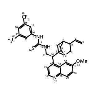 C=CC1CN2CCC1CC2[C@H](CNC(=S)Nc1cc(C(F)(F)F)cc(C(F)(F)F)c1)c1ccnc2ccc(OC)cc12